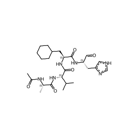 CC(=O)N[C@@H](C)C(=O)N[C@H](C(=O)N[C@@H](CC1CCCCC1)C(=O)N[C@H](C=O)Cc1c[nH]cn1)C(C)C